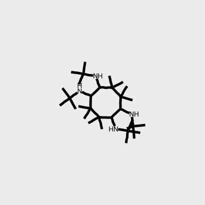 CC(C)(C)NC1C(NC(C)(C)C)C(C)(C)C(C)(C)C(NC(C)(C)C)C(NC(C)(C)C)C(C)(C)C1(C)C